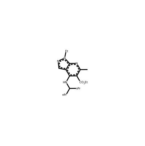 CCCC(CCC)Nc1c(C(=O)OCC)c(C)nc2c1cnn2CC